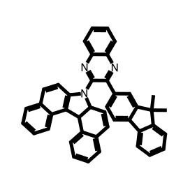 CC1(C)c2ccccc2-c2ccc(-c3nc4ccccc4nc3N3c4ccc5ccccc5c4C4c5ccccc5C=CC43)cc21